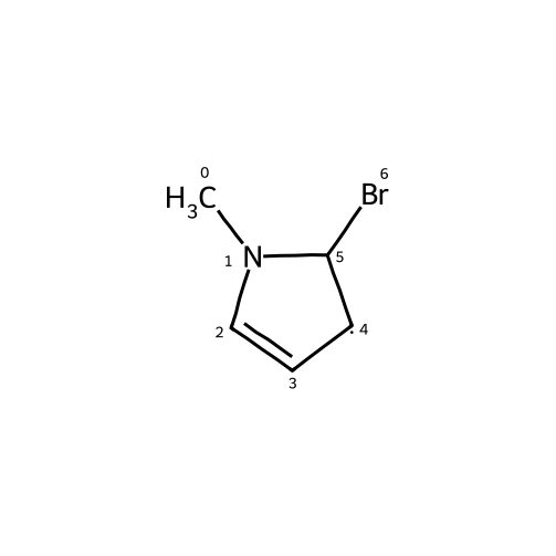 CN1C=C[CH]C1Br